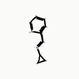 C(=N\C1CC1)/c1ccccn1